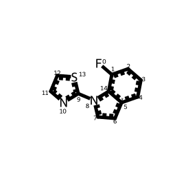 Fc1cccc2ccn(-c3nccs3)c12